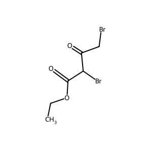 CCOC(=O)C(Br)C(=O)CBr